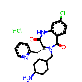 Cl.NC1CCC(CN2C(=O)c3ccc(Cl)cc3NC(=O)[C@H]2Cc2ccccn2)CC1